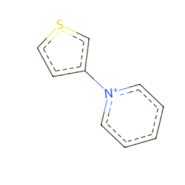 c1cc[n+](-c2ccsc2)cc1